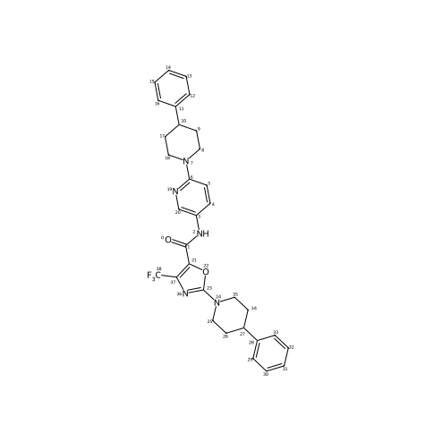 O=C(Nc1ccc(N2CCC(c3ccccc3)CC2)nc1)c1oc(N2CCC(c3ccccc3)CC2)nc1C(F)(F)F